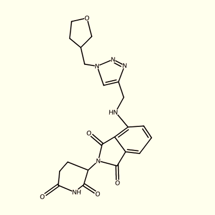 O=C1CCC(N2C(=O)c3cccc(NCc4cn(CC5CCOC5)nn4)c3C2=O)C(=O)N1